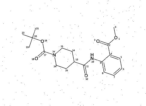 COC(=O)c1ccccc1NC(=O)C1CCN(C(=O)OC(C)(C)C)CC1